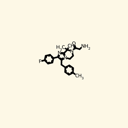 Cc1ccc(Cc2c(-c3ccc(F)cc3)nc3n2CCN(C(=O)CN)C3(C)C)cc1